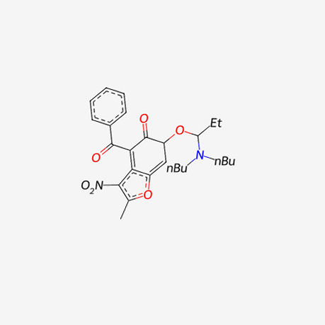 CCCCN(CCCC)C(CC)OC1C=c2oc(C)c([N+](=O)[O-])c2=C(C(=O)c2ccccc2)C1=O